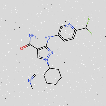 C/N=C\[C@H]1CCCC[C@@H]1n1cc(C(N)=O)c(Nc2ccc(C(F)F)nc2)n1